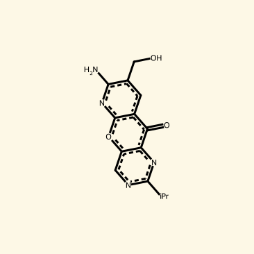 CC(C)c1ncc2oc3nc(N)c(CO)cc3c(=O)c2n1